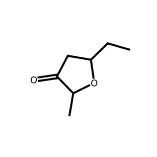 CCC1CC(=O)C(C)O1